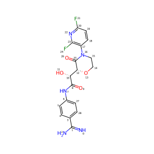 N=C(N)c1ccc(NC(=O)[C@H](O)[C@H]2OCCN(c3ccc(F)nc3F)C2=O)cc1